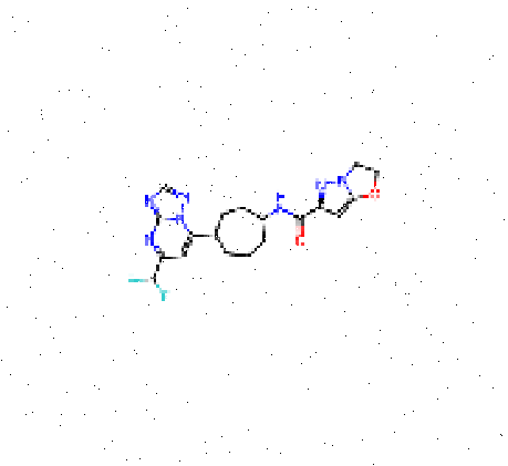 O=C(NC1CCCC(c2cc(C(F)F)nc3ncnn23)CC1)c1cc2n(n1)CCO2